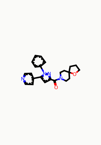 O=C(c1cc(-c2ccncc2)n(-c2ccccc2)n1)N1CCC2(CCCO2)CC1